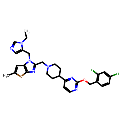 CCn1cncc1Cn1c(CN2CCC(c3ccnc(OCc4ccc(Cl)cc4F)n3)CC2)nc2sc(C)cc21